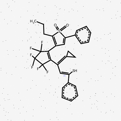 CCCC1=C(C2=C(C(/C=C(\S)c3ccccc3)=C3CC3)C(F)(F)C(F)(F)C2(F)F)C=C(c2ccccc2)S1(=O)=O